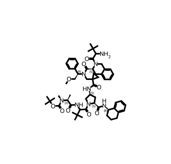 COC[C@@H](c1ccccc1)N(CC1(C(=O)N[C@H]2C[C@@H](C(=O)N[C@@H]3CCCc4ccccc43)N(C(=O)C(NC(=O)[C@H](C)N(C)C(=O)OC(C)(C)C)C(C)(C)C)C2)CC1)C(=O)[C@@H]1Cc2ccccc2CN1C(=O)C(N)C(C)(C)C